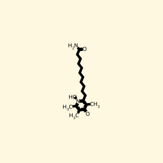 Cc1c(C)n(O)c(CCCCCCCCCCC(N)=O)c(C)c1=O